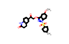 COc1ccc2c(c1)c(OCC(=O)c1ccc3c(c1)CCC(=O)N3)nn2S(=O)(=O)c1ccc(C)cc1